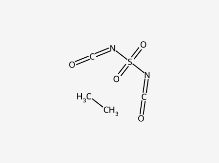 CC.O=C=NS(=O)(=O)N=C=O